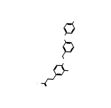 Cc1cc(CCC(=O)O)ccc1OCc1cccc(Oc2ccc(F)cc2)c1